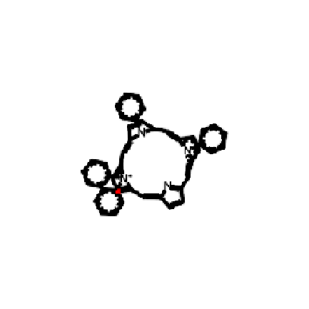 C1=CC2=NC1=CC1=CC=C(C=C3C=CC(C=c4ccc(n4-c4ccccc4)=C2)N3c2ccccc2)[N+]1(c1ccccc1)c1ccccc1